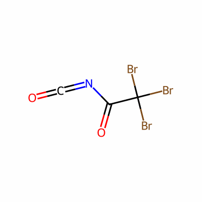 O=C=NC(=O)C(Br)(Br)Br